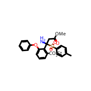 CCOC(=O)c1cccc(Oc2ccccc2)c1C(N)(CC(=O)OC)S(=O)(=O)c1ccc(C)cc1